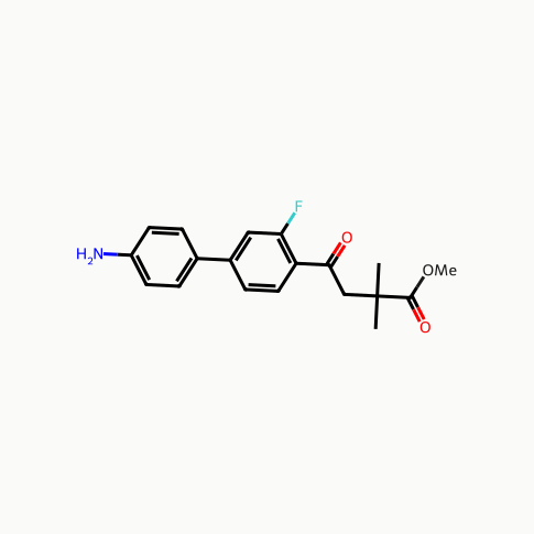 COC(=O)C(C)(C)CC(=O)c1ccc(-c2ccc(N)cc2)cc1F